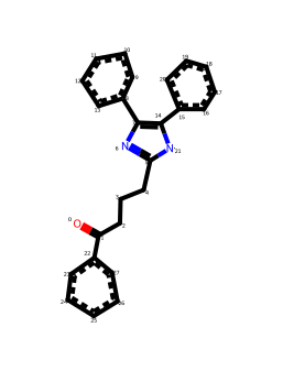 O=C(CCCC1=NC(c2ccccc2)=C(c2ccccc2)[N]1)c1ccccc1